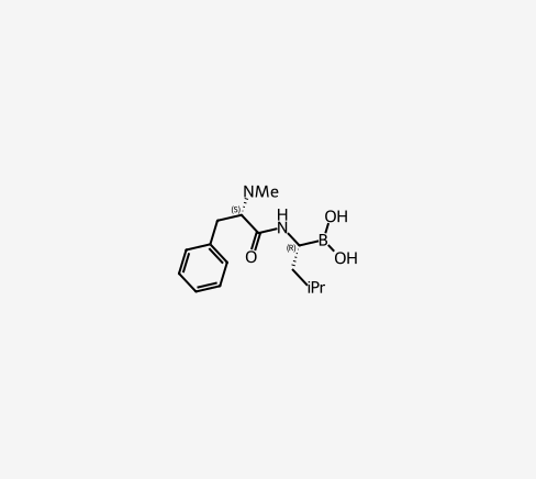 CN[C@@H](Cc1ccccc1)C(=O)N[C@@H](CC(C)C)B(O)O